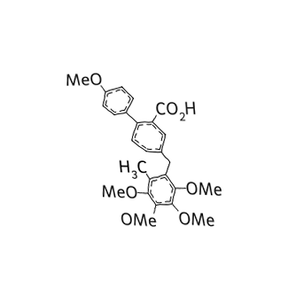 COc1ccc(-c2ccc(Cc3c(C)c(OC)c(OC)c(OC)c3OC)cc2C(=O)O)cc1